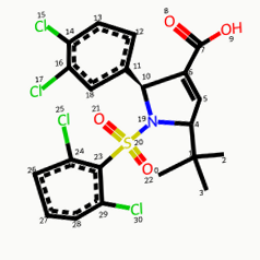 CC(C)(C)C1C=C(C(=O)O)[C@H](c2ccc(Cl)c(Cl)c2)N1S(=O)(=O)c1c(Cl)cccc1Cl